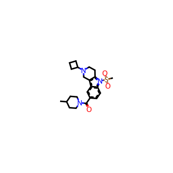 CC1CCN(C(=O)c2ccc3c(c2)c2c(n3S(C)(=O)=O)CCN(C3CCC3)C2)CC1